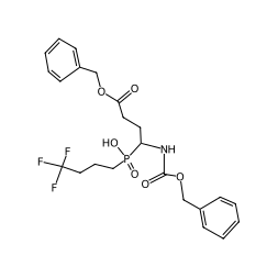 O=C(CCC(NC(=O)OCc1ccccc1)P(=O)(O)CCCC(F)(F)F)OCc1ccccc1